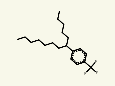 CCCCCCCC(CCCCC)c1ccc(C(F)(F)F)cc1